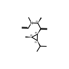 C=CN(C)[C@@H](C)C(=C)[C@@H]1[C@H](C)[C@@H]1C(C)C